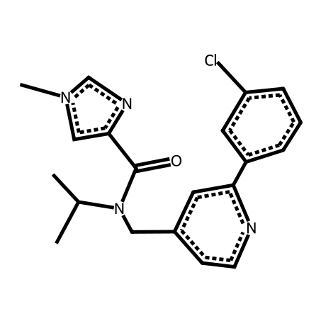 CC(C)N(Cc1ccnc(-c2cccc(Cl)c2)c1)C(=O)c1cn(C)cn1